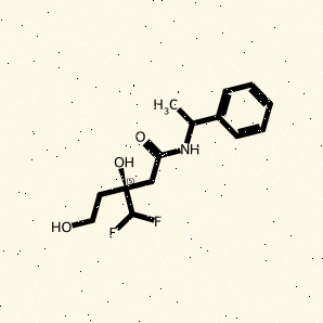 CC(NC(=O)C[C@@](O)(CCO)C(F)F)c1ccccc1